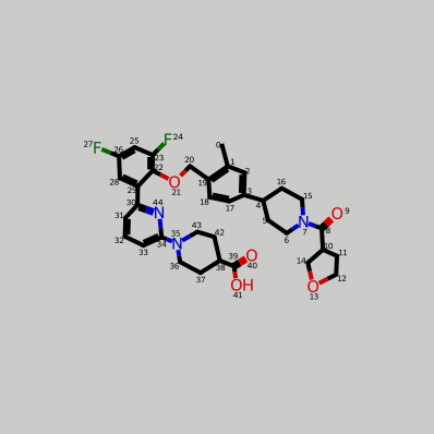 Cc1cc(C2CCN(C(=O)C3CCOC3)CC2)ccc1COc1c(F)cc(F)cc1-c1cccc(N2CCC(C(=O)O)CC2)n1